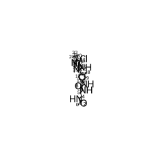 CC(=O)NCCNC(=O)Nc1ccc(-c2nn3nc(C(C)(C)C)c(Cl)c3[nH]2)c(C)c1